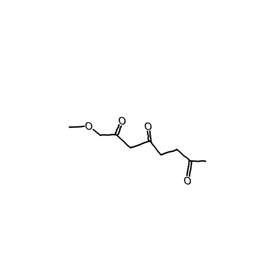 COCC(=O)CC(=O)CCC(C)=O